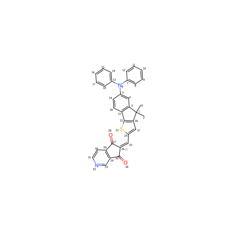 CC1(C)c2cc(N(c3ccccc3)c3ccccc3)ccc2-c2sc(/C=C3\C(=O)c4ccncc4C3=O)cc21